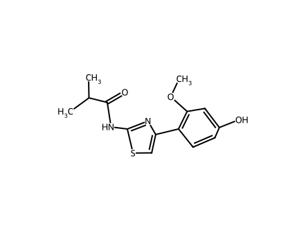 COc1cc(O)ccc1-c1csc(NC(=O)C(C)C)n1